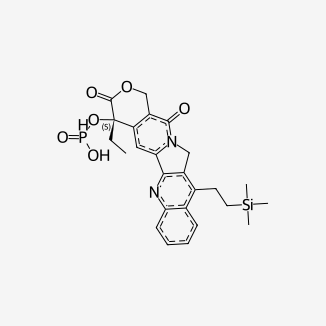 CC[C@@]1(O[PH](=O)O)C(=O)OCc2c1cc1n(c2=O)Cc2c-1nc1ccccc1c2CC[Si](C)(C)C